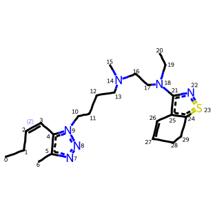 CC/C=C\c1c(C)nnn1CCCCN(C)CCN(CC)c1nsc2c1C=CCC2